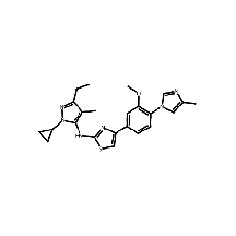 CCc1nn(C2CC2)c(Nc2nc(-c3ccc(-n4cnc(C)c4)c(OC)c3)cs2)c1C